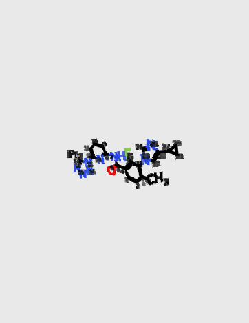 Cc1ccc(C(=O)Nc2cccc(-n3nnnc3C(C)C)n2)c(F)c1-n1cnc(C2CC2)c1